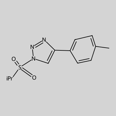 Cc1ccc(-c2cn(S(=O)(=O)C(C)C)nn2)cc1